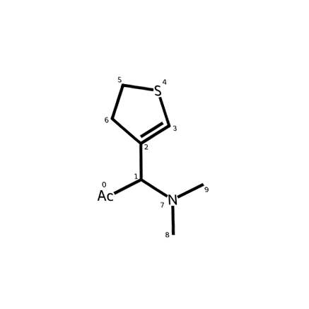 CC(=O)C(C1=CSCC1)N(C)C